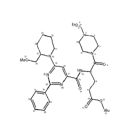 CCOC(=O)N1CCN(C(=O)C(CCC(=O)OC(C)(C)C)NC(=O)c2cc(N3CCCCC3COC)nc(-c3ccccc3)n2)CC1